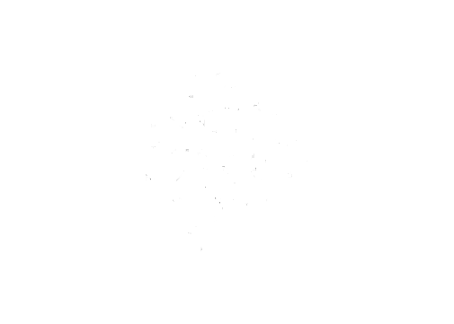 N#Cc1ccc2c(c1)c1ccccc1n2-c1cccc([Si](c2ccccc2)(c2ccccc2)c2ccc3c4ccccc4n(-c4ccccc4)c3c2)c1